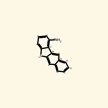 Nc1cccc2sc3cc4ccccc4cc3c12